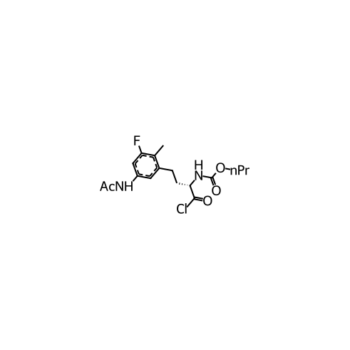 CCCOC(=O)N[C@@H](CCc1cc(NC(C)=O)cc(F)c1C)C(=O)Cl